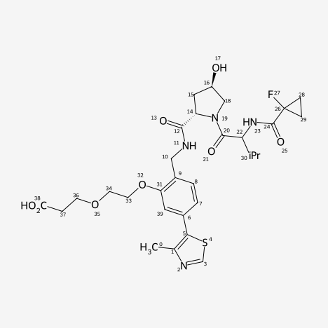 Cc1ncsc1-c1ccc(CNC(=O)[C@@H]2C[C@@H](O)CN2C(=O)C(NC(=O)C2(F)CC2)C(C)C)c(OCCOCCC(=O)O)c1